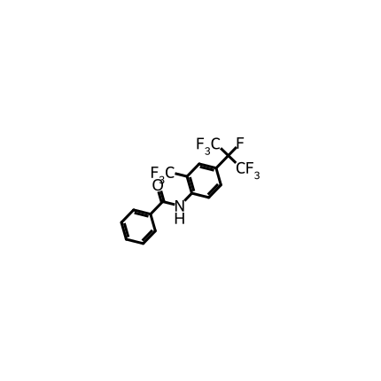 O=C(Nc1ccc(C(F)(C(F)(F)F)C(F)(F)F)cc1C(F)(F)F)c1ccccc1